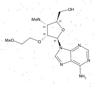 CN[C@H]1[C@@H](OCCOC)[C@H](n2cnc3c(N)ncnc32)O[C@@H]1CO